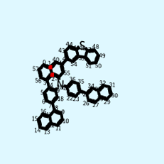 c1ccc(-c2ccc(-c3cccc4ccccc34)cc2N(c2ccc(-c3ccc4ccccc4c3)cc2)c2cccc(-c3ccc4sc5ccccc5c4c3)c2)cc1